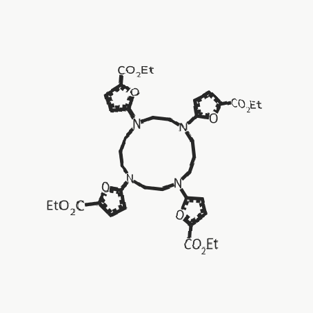 CCOC(=O)c1ccc(N2CCCN(c3ccc(C(=O)OCC)o3)CCN(c3ccc(C(=O)OCC)o3)CCCN(c3ccc(C(=O)OCC)o3)CC2)o1